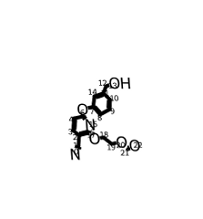 N#Cc1ccc(Oc2cccc(CO)c2)nc1OCCOC=O